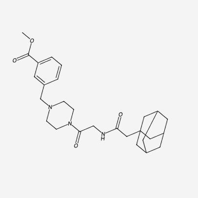 COC(=O)c1cccc(CN2CCN(C(=O)CNC(=O)CC34CC5CC(CC(C5)C3)C4)CC2)c1